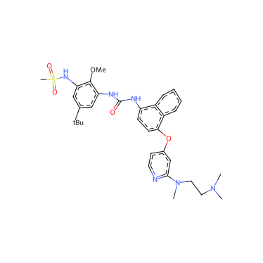 COc1c(NC(=O)Nc2ccc(Oc3ccnc(N(C)CCN(C)C)c3)c3ccccc23)cc(C(C)(C)C)cc1NS(C)(=O)=O